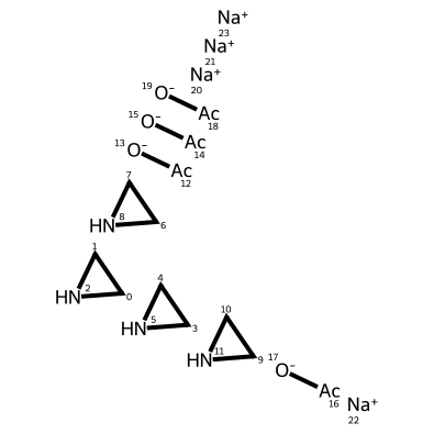 C1CN1.C1CN1.C1CN1.C1CN1.CC(=O)[O-].CC(=O)[O-].CC(=O)[O-].CC(=O)[O-].[Na+].[Na+].[Na+].[Na+]